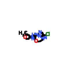 C[C@@H]1C[C@H](n2cc3c(n2)OCCCn2nc(Cl)c4cnc(nc42)N3)CCO1